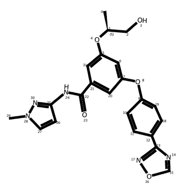 C[C@@H](CO)Oc1cc(Oc2ccc(-c3ncon3)cc2)cc(C(=O)Nc2ccn(C)n2)c1